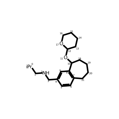 CC(C)CNCc1ccc2c(c1)C(OC1CCCCO1)CCCC2